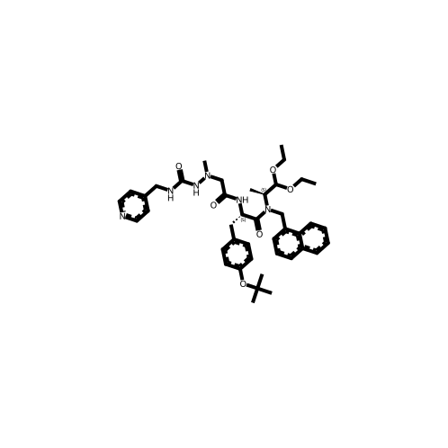 CCOC(OCC)[C@H](C)N(Cc1cccc2ccccc12)C(=O)[C@H](Cc1ccc(OC(C)(C)C)cc1)NC(=O)CN(C)NC(=O)NCc1ccncc1